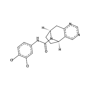 O=C(Nc1ccc(Cl)c(Cl)c1)N1[C@H]2CC[C@@H]1c1cncnc1C2